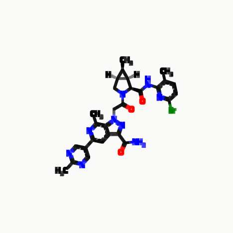 Cc1ncc(-c2cc3c(C(N)=O)nn(CC(=O)N4C[C@H]5[C@@H](C)[C@H]5[C@H]4C(=O)Nc4nc(Br)ccc4C)c3c(C)n2)cn1